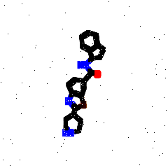 O=C(NC1CCc2ccccc21)c1ccc2nc(C3CCNCC3)sc2c1